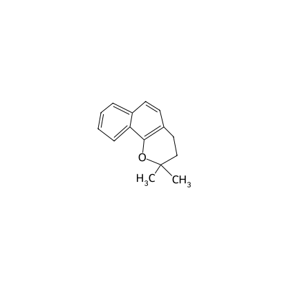 CC1(C)CCc2ccc3ccccc3c2O1